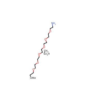 COCCOCCOCCOCCOCCOCCOCCN.CS(=O)(=O)O